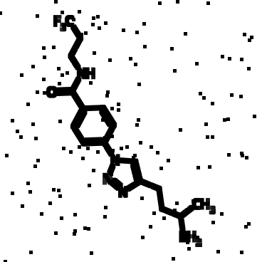 BC(C)CCc1cn(-c2ccc(C(=O)NCCC(F)(F)F)cc2)nn1